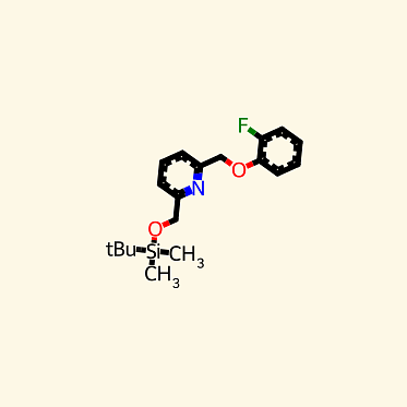 CC(C)(C)[Si](C)(C)OCc1cccc(COc2ccccc2F)n1